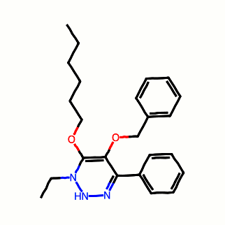 CCCCCCOC1=C(OCc2ccccc2)C(c2ccccc2)=NNN1CC